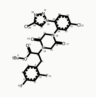 CC(C)(C)OC(=O)C(Cc1ccc(F)cc1F)N1CC(=O)N(c2cc(Cl)ccc2-n2cc(Cl)nn2)CC1=O